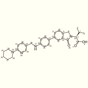 CC(C)[C@@H](C(=O)O)N1Cc2ccc(-c3ccc(NCc4ccc(N5CCCCC5)nc4)cc3)cc2C1=O